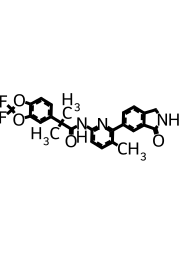 Cc1ccc(NC(=O)C(C)(C)c2ccc3c(c2)OC(F)(F)O3)nc1-c1ccc2c(c1)C(=O)NC2